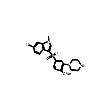 COc1ccc(S(=O)(=O)c2cn(C)c3cc(Cl)ccc23)cc1N1CCNCC1